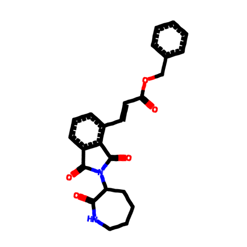 O=C(C=Cc1cccc2c1C(=O)N(C1CCCCNC1=O)C2=O)OCc1ccccc1